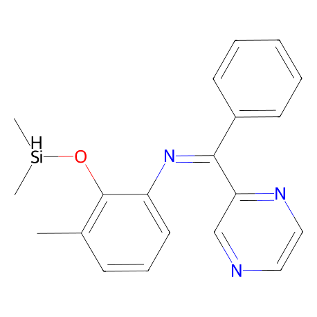 Cc1cccc(N=C(c2ccccc2)c2cnccn2)c1O[SiH](C)C